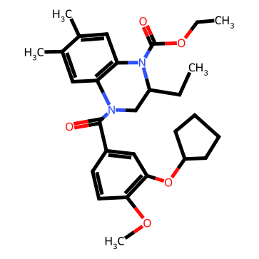 CCOC(=O)N1c2cc(C)c(C)cc2N(C(=O)c2ccc(OC)c(OC3CCCC3)c2)CC1CC